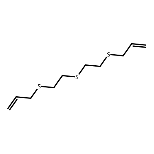 C=CCSCCSCCSCC=C